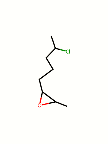 CC(Cl)CCCC1OC1C